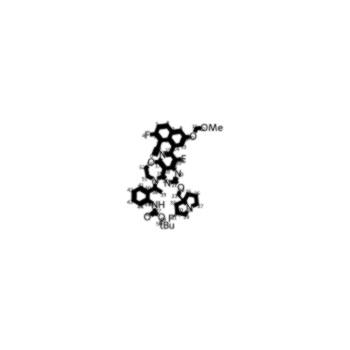 C#Cc1c(F)ccc2cc(OCOC)cc(-c3nc4c5c(nc(OC[C@@]67CCCN6C[C@H](F)C7)nc5c3F)N(C(C)c3ccccc3NC(=O)OC(C)(C)C)CCO4)c12